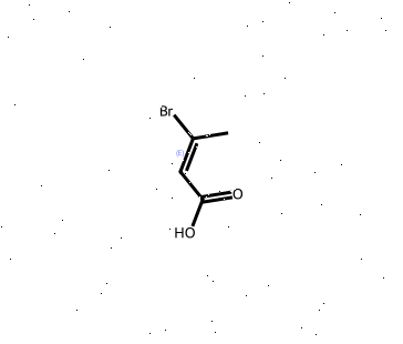 C/C(Br)=C\C(=O)O